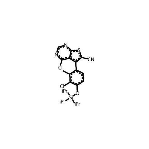 Cc1c(-c2c(C#N)sc3ncnc(Cl)c23)ccc(O[Si](C(C)C)(C(C)C)C(C)C)c1Cl